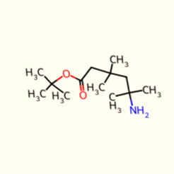 CC(C)(N)CC(C)(C)CC(=O)OC(C)(C)C